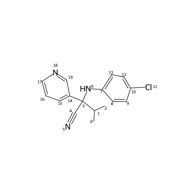 CC(C)C(C#N)(Nc1ccc(Cl)cc1)c1cccnc1